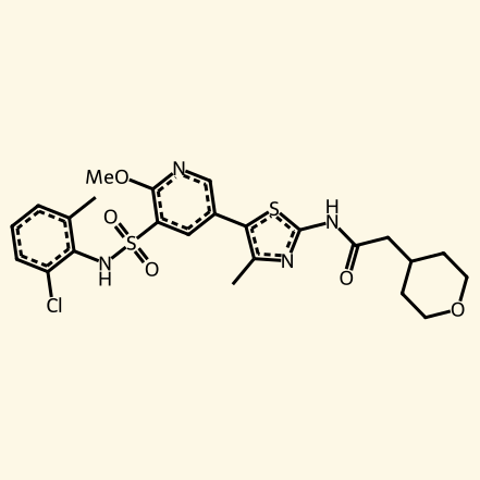 COc1ncc(-c2sc(NC(=O)CC3CCOCC3)nc2C)cc1S(=O)(=O)Nc1c(C)cccc1Cl